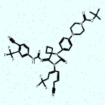 CC(C)(C)OC(=O)N1CCN(c2ccc(N3C(=S)N(C(/C=C\CC#N)=C/CC(F)(F)F)/C(=N/C(=S)Nc4ccc(C#N)c(C(F)(F)F)c4)C34CCC4)cc2)CC1